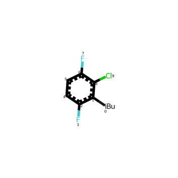 CCC(C)c1c(F)ccc(F)c1Cl